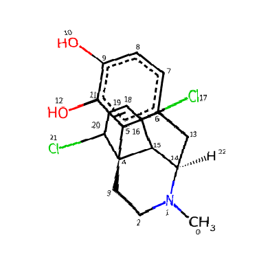 CN1CC[C@@]23c4c(ccc(O)c4O)C[C@@H]1C2C(Cl)C=CC3Cl